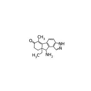 CCC12CCC(=O)C(C)=C1c1ccc3[nH]ncc3c1C2N